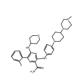 CN1CCN(C2CCN(c3ccc(Nc4nc(NC5CCOCC5)c(-c5ccccc5F)nc4C(N)=O)cc3)CC2)CC1